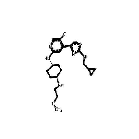 COCCN[C@H]1CC[C@H](Nc2cc(-c3csc(NCC4CC4)n3)c(Cl)cn2)CC1